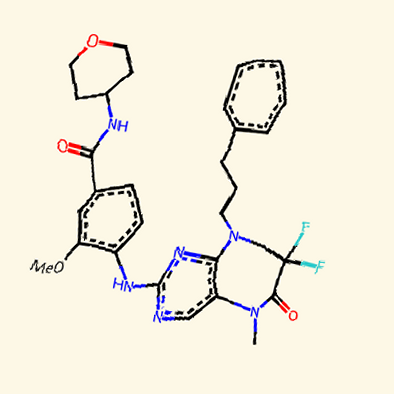 COc1cc(C(=O)NC2CCOCC2)ccc1Nc1ncc2c(n1)N(CCCc1ccccc1)CC(F)(F)C(=O)N2C